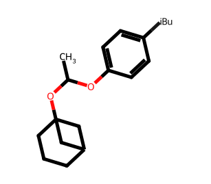 CCC(C)c1ccc(OC(C)OC23CCCC(C2)C3)cc1